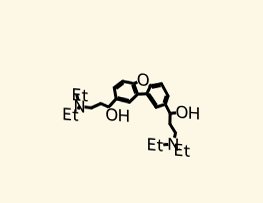 CCN(CC)CCC(O)c1ccc2oc3ccc(C(O)CCN(CC)CC)cc3c2c1